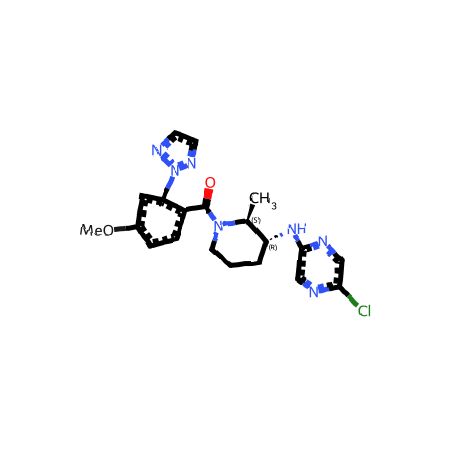 COc1ccc(C(=O)N2CCC[C@@H](Nc3cnc(Cl)cn3)[C@@H]2C)c(-n2nccn2)c1